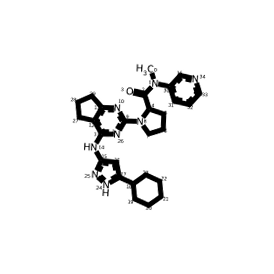 CN(C(=O)C1CCCN1c1nc2c(c(Nc3cc(C4CCCCC4)[nH]n3)n1)CCC2)c1cccnc1